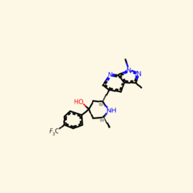 Cc1nn(C)c2ncc([C@@H]3CC(O)(c4ccc(C(F)(F)F)cc4)C[C@H](C)N3)cc12